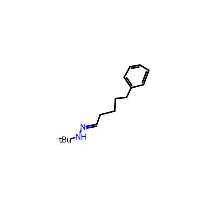 CC(C)(C)N/N=C/CCCCc1ccccc1